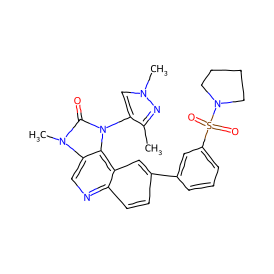 Cc1nn(C)cc1-n1c(=O)n(C)c2cnc3ccc(-c4cccc(S(=O)(=O)N5CCCC5)c4)cc3c21